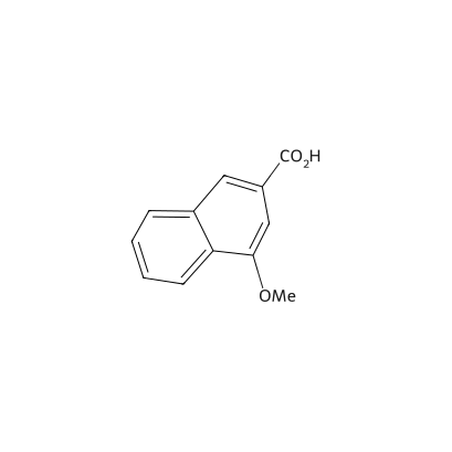 COc1cc(C(=O)O)cc2ccccc12